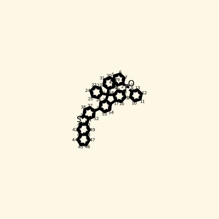 O=P(c1ccccc1)(c1ccccc1)c1ccc2c(c1)C(c1ccccc1)(c1ccccc1)c1cc(-c3ccc4sc5cc6ccccc6cc5c4c3)ccc1-2